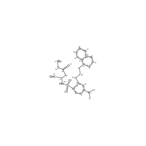 CN(C)c1ccc(S(=O)(=O)NC(C=O)CC(=O)OC(C)(C)C)c(OCCc2cccc3ncccc23)c1